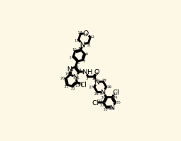 O=C(CNc1c(-c2ccc(N3CCOCC3)cc2)nc2cccc(Cl)n12)N1CCN(c2c(Cl)cncc2Cl)CC1